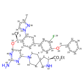 CCOC(=O)[C@@H]1CC2(CCN(c3cc(O[C@H](c4ccc(-c5ccc(OCc6ccccc6)c(F)c5)cc4-n4ccc(C)n4)C(F)(F)F)nc(N)n3)CC2)CN1